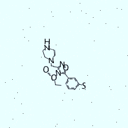 CCOC=O.CSc1cccc(-c2nc(CN3CCNCC3)no2)c1